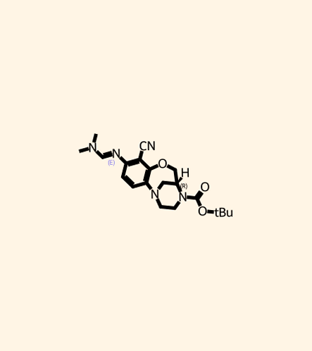 CN(C)/C=N/c1ccc2c(c1C#N)OC[C@H]1CN2CCN1C(=O)OC(C)(C)C